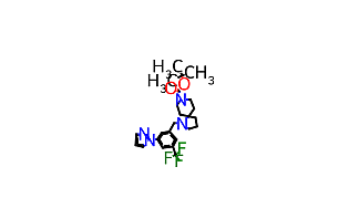 CC(C)(C)OC(=O)N1CCC2(CCCN2Cc2cc(-n3cccn3)cc(C(F)(F)F)c2)CC1